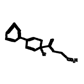 O=C(O)CCC(=O)C1(Br)C=CC(c2ccccc2)=CC1